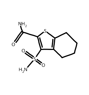 NC(=O)c1sc2c(c1S(N)(=O)=O)CCCC2